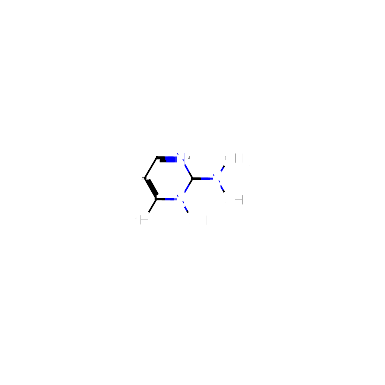 [2H]C1=CC=NC(N(C)C)N1C